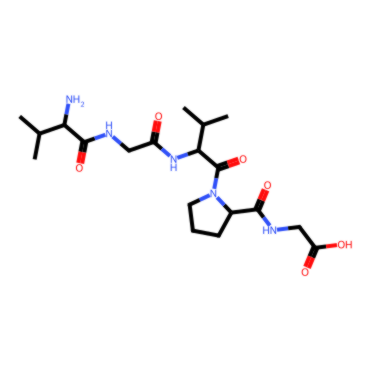 CC(C)C(N)C(=O)NCC(=O)NC(C(=O)N1CCCC1C(=O)NCC(=O)O)C(C)C